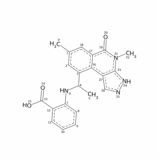 Cc1cc(C(C)Nc2ccccc2C(=O)O)c2c(c1)c(=O)n(C)c1[nH]ncc21